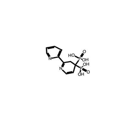 O=P(O)(O)C1(P(=O)(O)O)C=CN=C(c2ccccn2)C1